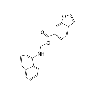 O=C(OCNc1cccc2ccccc12)c1ccc2ccoc2c1